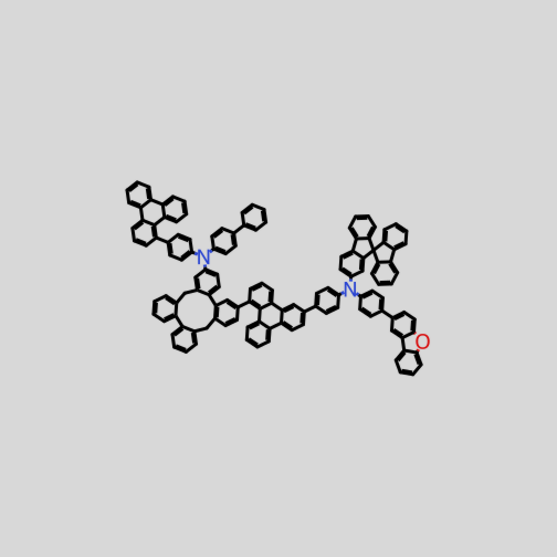 c1ccc(-c2ccc(N(c3ccc(-c4cccc5c6ccccc6c6ccccc6c45)cc3)c3ccc4c(c3)Cc3ccccc3-c3ccccc3Cc3ccc(-c5cccc6c7cc(-c8ccc(N(c9ccc(-c%10ccc%11oc%12ccccc%12c%11c%10)cc9)c9ccc%10c(c9)C9(c%11ccccc%11-c%11ccccc%119)c9ccccc9-%10)cc8)ccc7c7ccccc7c56)cc3-4)cc2)cc1